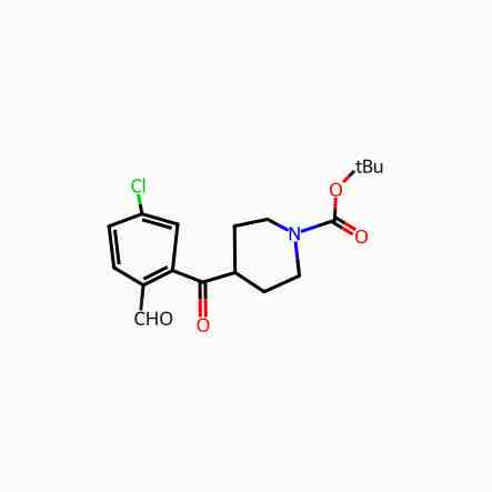 CC(C)(C)OC(=O)N1CCC(C(=O)c2cc(Cl)ccc2C=O)CC1